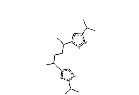 CC(C)c1cn(C(C)CCC(C)c2cnn(C(C)C)n2)nn1